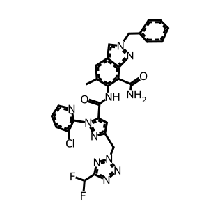 Cc1cc2cn(Cc3ccccc3)nc2c(C(N)=O)c1NC(=O)c1cc(Cn2nnc(C(F)F)n2)nn1-c1ncccc1Cl